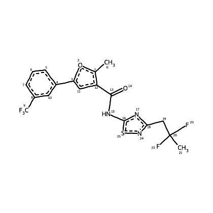 Cc1oc(-c2cccc(C(F)(F)F)c2)cc1C(=O)Nc1nc(CC(C)(F)F)ns1